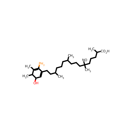 CC1=C(P)C(CCC(C)CCCC(C)CCCC(C)(CCCC(C)C(=O)O)N=O)=CC(O)C1C